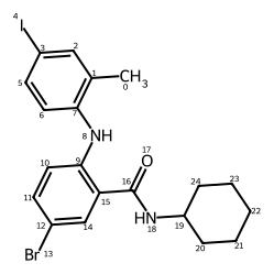 Cc1cc(I)ccc1Nc1ccc(Br)cc1C(=O)NC1CCCCC1